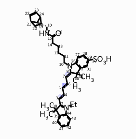 CC[N+]1=C(/C=C/C=C/C=C2/N(CCCCCC(=O)NC[C@@H]3CC4C=CC3C4)c3ccc(S(=O)(=O)O)cc3C2(C)C)C(C)(C)c2ccccc21